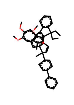 CCC1(CC)c2ccccc2-c2c1c(/C=C\C(C)(c1ccc(OC)cc1)c1ccc(-c3ccccc3)cc1)c(C)c1cc(OC)c(OC)cc21